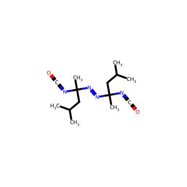 CC(C)CC(C)(N=C=O)/N=N/C(C)(CC(C)C)N=C=O